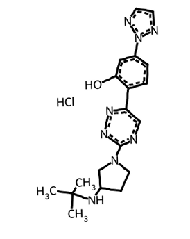 CC(C)(C)NC1CCN(c2ncc(-c3ccc(-n4nccn4)cc3O)nn2)C1.Cl